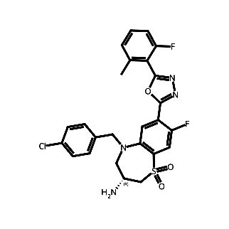 Cc1cccc(F)c1-c1nnc(-c2cc3c(cc2F)S(=O)(=O)C[C@H](N)CN3Cc2ccc(Cl)cc2)o1